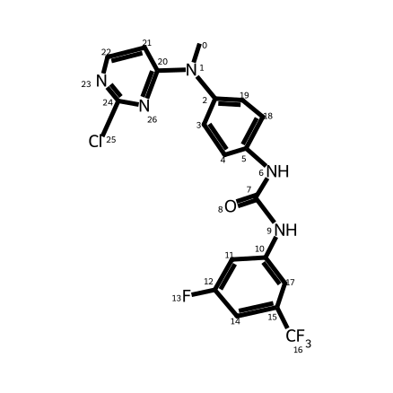 CN(c1ccc(NC(=O)Nc2cc(F)cc(C(F)(F)F)c2)cc1)c1ccnc(Cl)n1